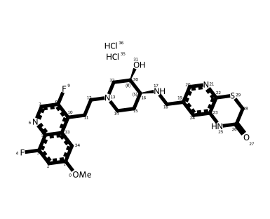 COc1cc(F)c2ncc(F)c(CCN3CC[C@H](NCc4cnc5c(c4)NC(=O)CS5)[C@H](O)C3)c2c1.Cl.Cl